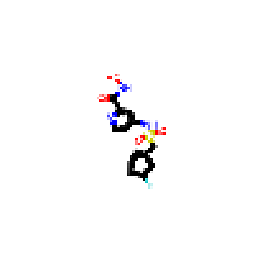 O=C(NO)c1cc(NS(=O)(=O)Cc2cccc(F)c2)ccn1